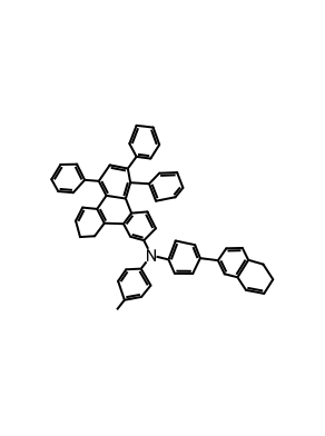 Cc1ccc(N(c2ccc(-c3ccc4c(c3)C=CCC4)cc2)c2ccc3c(c2)c2c(c4c(-c5ccccc5)cc(-c5ccccc5)c(-c5ccccc5)c43)C=CCC2)cc1